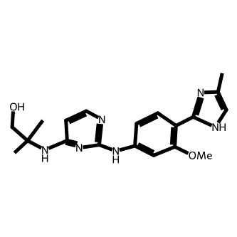 COc1cc(Nc2nccc(NC(C)(C)CO)n2)ccc1-c1nc(C)c[nH]1